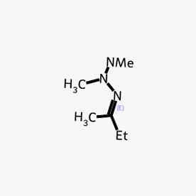 CC/C(C)=N/N(C)NC